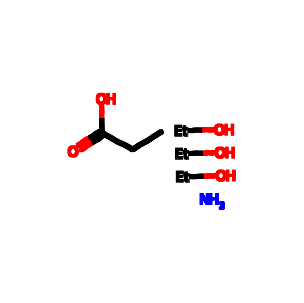 CCC(=O)O.CCO.CCO.CCO.N